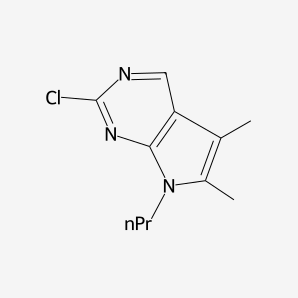 CCCn1c(C)c(C)c2cnc(Cl)nc21